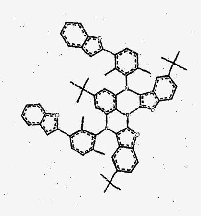 Cc1ccc(-c2cc3ccccc3o2)c(C)c1N1c2cc(C(C)(C)C)cc3c2B(c2oc4ccc(C(C)(C)C)cc4c21)c1oc2ccc(C(C)(C)C)cc2c1N3c1c(C)ccc(-c2cc3ccccc3o2)c1C